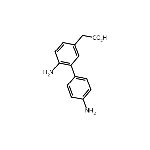 Nc1ccc(-c2cc(CC(=O)O)ccc2N)cc1